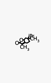 CC1=C2CCC(C)(C(C)C)CC2OC1=O